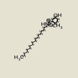 CCCCCCCCCCCCCCCCCCNS(=O)(=O)c1cc(O)ccc1C